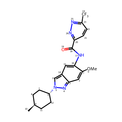 COc1cc2nn([C@H]3CC[C@H](C)CC3)cc2cc1NC(=O)c1ccc(C(F)(F)F)nn1